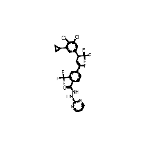 O=C(NNc1ncccn1)c1ccc(/C(F)=C/C(c2cc(Cl)c(Cl)c(C3CC3)c2)C(F)(F)F)cc1C(F)(F)F